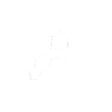 CCCC1O[C@H](O[C@@H]2C(CO)O[C@H]3OC(C)=NC3C2O)[C@H](O)[C@H](C)[C@@H]1O